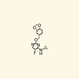 Fc1cnc(OCc2ccc3c(c2)OCO3)nc1NC1CC1